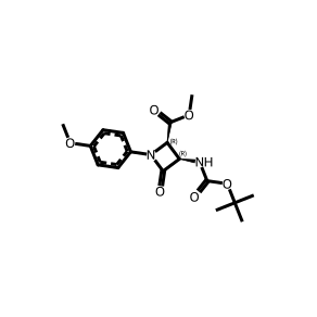 COC(=O)[C@H]1[C@@H](NC(=O)OC(C)(C)C)C(=O)N1c1ccc(OC)cc1